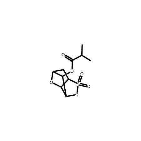 CC(C)C(=O)OC1C2CC3C(O2)C1OS3(=O)=O